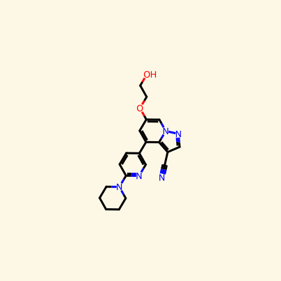 N#Cc1cnn2cc(OCCO)cc(-c3ccc(N4CCCCC4)nc3)c12